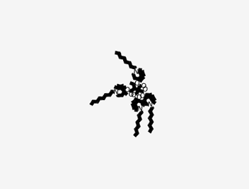 CCCCCCCCN1CCC(C)(OC(=O)C(CC)C(C(=O)OC2(C)CCN(CCCCCCCC)C(C)(C)C2(C)C)(C(=O)OC2(C)CCN(CCCCCCCC)C(C)(C)C2(C)C)C(=O)OC2(C)CCN(CCCCCCCC)C(C)(C)C2(C)C)C(C)(C)C1(C)C